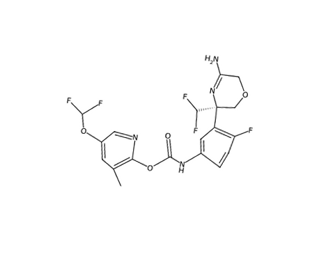 Cc1cc(OC(F)F)cnc1OC(=O)Nc1ccc(F)c([C@]2(C(F)F)COCC(N)=N2)c1